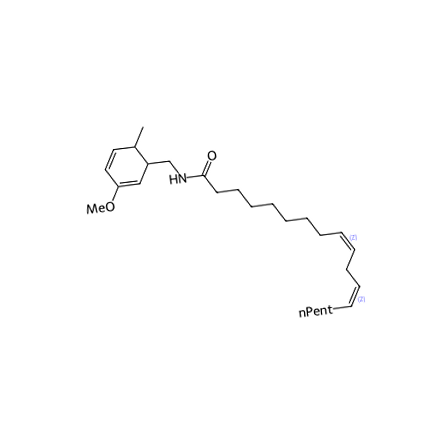 CCCCC/C=C\C/C=C\CCCCCCCC(=O)NCC1C=C(OC)C=CC1C